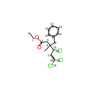 CCOC(=O)CC(C)(Cc1ccccc1)C(Cl)C=C(Cl)Cl